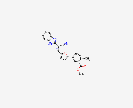 COC(=O)c1cc(-c2ccc(/C=C(\C#N)c3nc4ccccc4[nH]3)o2)ccc1C